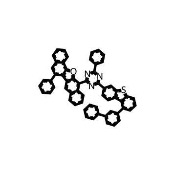 c1ccc(-c2cccc(-c3cccc4sc5cc(-c6nc(-c7ccccc7)nc(-c7c8ccccc8cc8c7oc7c9ccccc9cc(-c9ccccc9)c87)n6)ccc5c34)c2)cc1